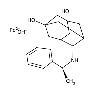 C[C@H](NC1C2CC3CC1CC(O)(C3)C2)c1ccccc1.[OH-].[OH-].[Pd+2]